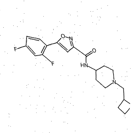 O=C(NC1CCN(CC2CCC2)CC1)c1cc(-c2ccc(F)cc2F)on1